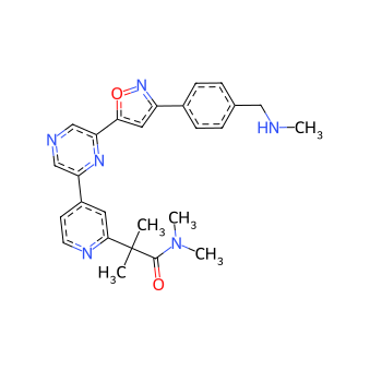 CNCc1ccc(-c2cc(-c3cncc(-c4ccnc(C(C)(C)C(=O)N(C)C)c4)n3)on2)cc1